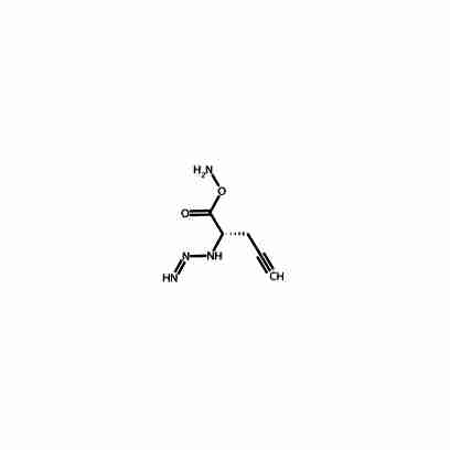 C#CC[C@H](NN=N)C(=O)ON